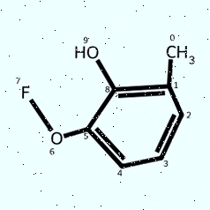 Cc1cccc(OF)c1O